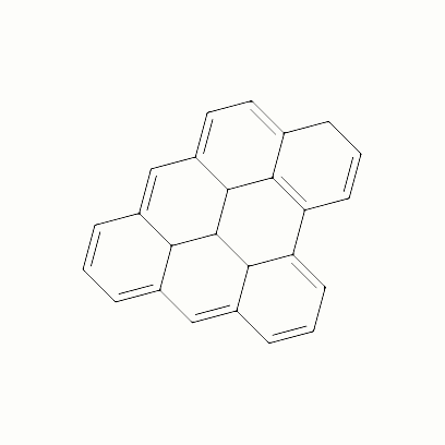 C1=CC2=CC3=CC=C4CC=CC5=C4C3C3C2C(=C1)C=C1C=CC=C5C13